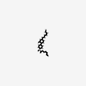 C=C/C=C\CCC(C)N(C)C1CCC(C2CCC(CCC/C=C\CC)CC2C)CC1